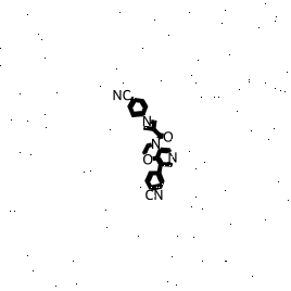 N#Cc1ccc(-c2cncc3c2OCCN3C(=O)C2CN(c3ccc(C#N)cc3)C2)cc1